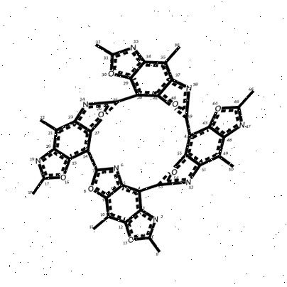 Cc1nc2c3c4nc(oc4c(C)c2o1)-c1c2oc(C)nc2c(C)c2nc(oc12)-c1c2oc(C)nc2c(C)c2nc(oc12)-c1c2oc(C)nc2c(C)c2nc-3oc12